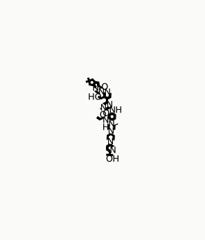 C=CC(=O)Nc1cc(Nc2nc(-c3ccnc(N4CCn5c(cc6c5CC(C)(C)C6)C4=O)c3CO)cn(C)c2=O)ccc1N1CCN(C2CCN(c3ccc(C(C)(C)O)nc3)CC2)C[C@@H]1C